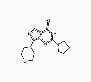 O=c1[nH]c(N2CCCC2)nn2c(C3CCOCC3)ncc12